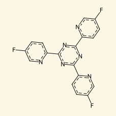 Fc1ccc(-c2nc(-c3ccc(F)cn3)nc(-c3ccc(F)cn3)n2)nc1